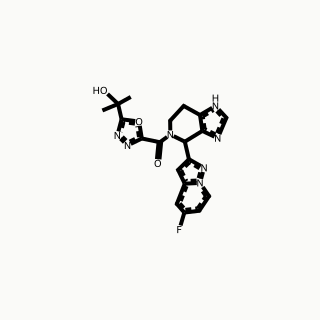 CC(C)(O)c1nnc(C(=O)N2CCc3[nH]cnc3C2c2cc3cc(F)ccn3n2)o1